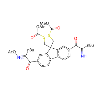 CCCCC(=N)C(=O)c1ccc2c(c1)C(CSC(=O)OC)(CSC(=O)OC)c1cc(C(=O)/C(CCCC)=N/OC(C)=O)ccc1-2